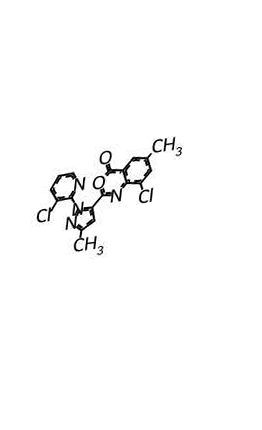 Cc1cc(Cl)c2nc(-c3cc(C)nn3-c3ncccc3Cl)oc(=O)c2c1